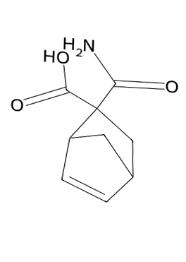 NC(=O)C1(C(=O)O)CC2C=CC1C2